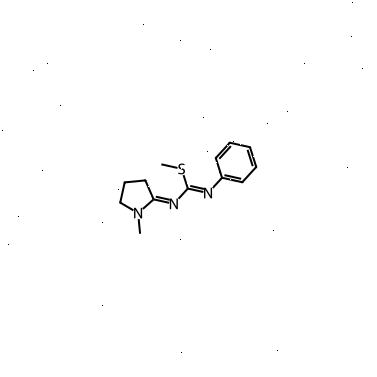 CSC(=Nc1ccccc1)N=C1CCCN1C